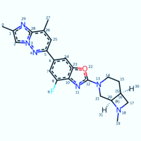 Cc1cn2nc(-c3cc(F)c4nc(N5CC[C@H]6CN(C)[C@H]6C5)oc4c3)cc(C)c2n1